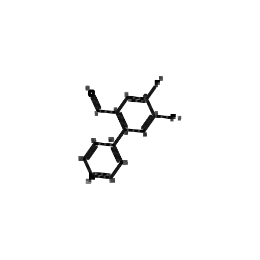 O=Cc1cc(F)c(F)cc1-c1ccncc1